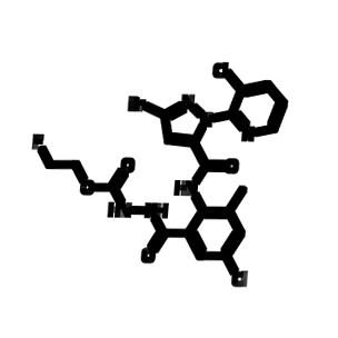 Cc1cc(Cl)cc(C(=O)NNC(=O)OCCF)c1NC(=O)c1cc(Br)nn1-c1ncccc1Cl